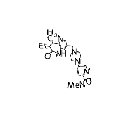 CCC1C(=O)Nc2cc(CN3CCN(c4ccc(C(=O)NC)nc4)CC3)cnc2[C@@H]1C